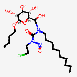 CCCCCCCCCCN(C(=O)N(CCCl)N=O)C(O)[C@H]1O[C@@H](OCCCC)[C@H](O)[C@@H](O)[C@@H]1O